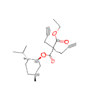 C#CCC(CC#C)(C(=O)OCC)C(=O)O[C@H]1C[C@@H](C)CC[C@@H]1C(C)C